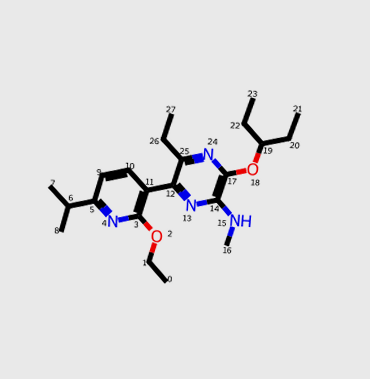 CCOc1nc(C(C)C)ccc1-c1nc(NC)c(OC(CC)CC)nc1CC